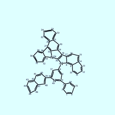 c1ccc(-c2cc(-n3c4c5ccccc5ccc4c4c5cc6ccccc6c6c7ccccc7n(c56)c43)cc(-c3ccc4ccccc4c3)n2)cc1